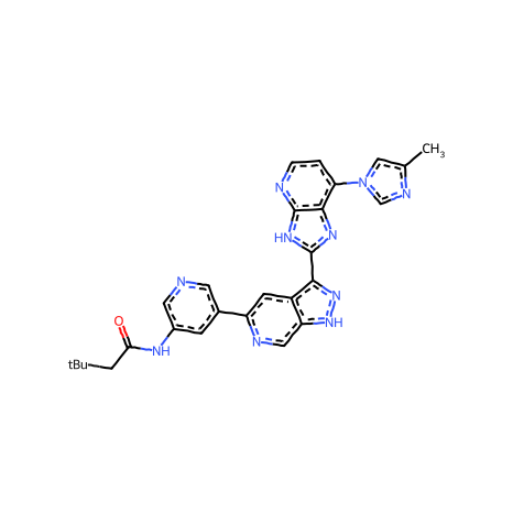 Cc1cn(-c2ccnc3[nH]c(-c4n[nH]c5cnc(-c6cncc(NC(=O)CC(C)(C)C)c6)cc45)nc23)cn1